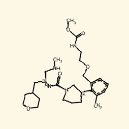 CNC[C@H](CC1CCOCC1)NC(=O)N1CCC[C@H](c2c(C)cccc2COCCNC(=O)OC)C1